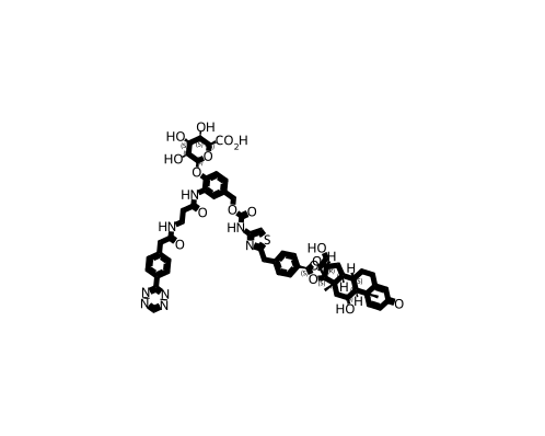 C[C@]12C=CC(=O)C=C1CC[C@@H]1[C@@H]2[C@@H](O)C[C@@]2(C)[C@H]1C[C@H]1O[C@H](c3ccc(Cc4nc(NC(=O)OCc5ccc(O[C@@H]6O[C@H](C(=O)O)[C@@H](O)[C@H](O)[C@H]6O)c(NC(=O)CCNC(=O)Cc6ccc(-c7nncnn7)cc6)c5)cs4)cc3)O[C@]12C(=O)CO